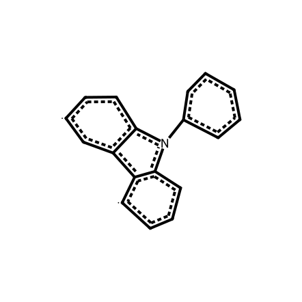 [c]1ccc2c(c1)c1[c]cccc1n2-c1ccccc1